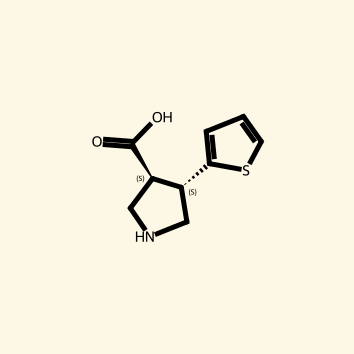 O=C(O)[C@@H]1CNC[C@H]1c1cccs1